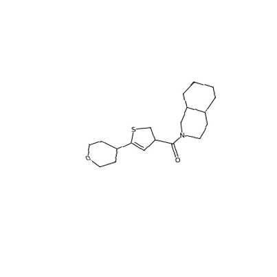 O=C(C1C=C(C2CCOCC2)SC1)N1CCC2CCCCC2C1